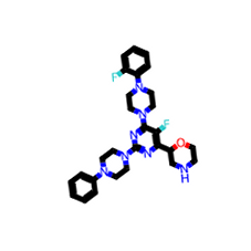 Fc1ccccc1N1CCN(c2nc(N3CCN(c4ccccc4)CC3)nc(C3CNCCO3)c2F)CC1